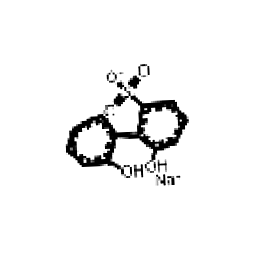 O=S(=O)([O-])c1cccc(O)c1-c1ccccc1O.[Na+]